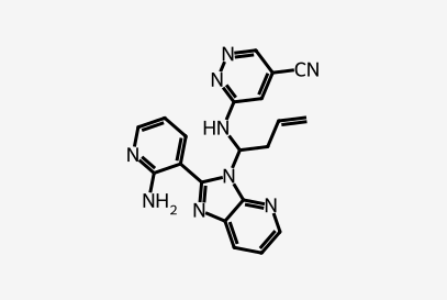 C=CCC(Nc1cc(C#N)cnn1)n1c(-c2cccnc2N)nc2cccnc21